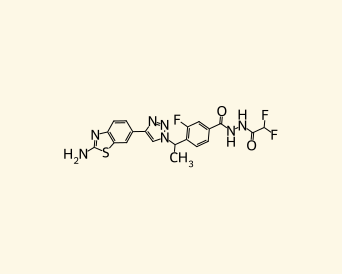 CC(c1ccc(C(=O)NNC(=O)C(F)F)cc1F)n1cc(-c2ccc3nc(N)sc3c2)nn1